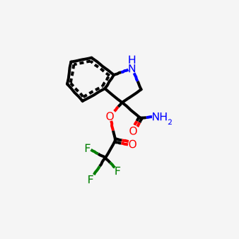 NC(=O)C1(OC(=O)C(F)(F)F)CNc2ccccc21